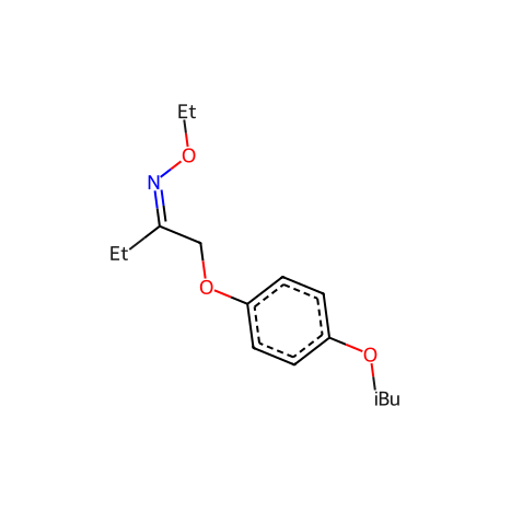 CCO/N=C(/CC)COc1ccc(OC(C)CC)cc1